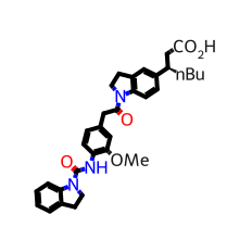 CCCC[C@H](CC(=O)O)c1ccc2c(c1)CCN2C(=O)Cc1ccc(NC(=O)N2CCc3ccccc32)c(OC)c1